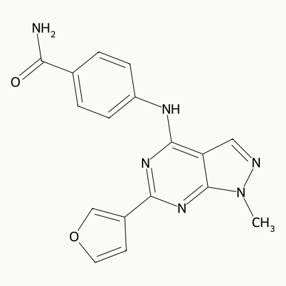 Cn1ncc2c(Nc3ccc(C(N)=O)cc3)nc(-c3ccoc3)nc21